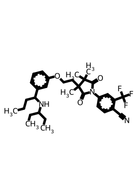 CCCC(NC(CC)CC)c1cccc(OCCC2(C)C(=O)N(c3ccc(C#N)c(C(F)(F)F)c3)C(=O)C2(C)C)c1